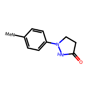 CNc1ccc(N2CCC(=O)N2)cc1